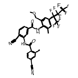 COCc1cc(C(F)(C(F)(F)F)C(F)(F)C(F)(F)F)cc(C)c1NC(=O)c1ccc(C#N)c(NC(=O)c2ccc(C#N)cc2C)c1